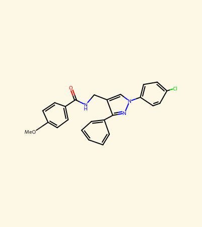 COc1ccc(C(=O)NCc2cn(-c3ccc(Cl)cc3)nc2-c2ccccc2)cc1